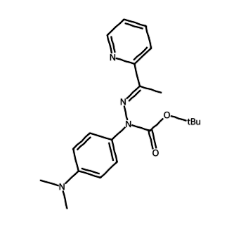 C/C(=N\N(C(=O)OC(C)(C)C)c1ccc(N(C)C)cc1)c1ccccn1